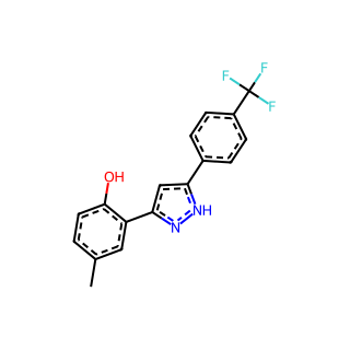 Cc1ccc(O)c(-c2cc(-c3ccc(C(F)(F)F)cc3)[nH]n2)c1